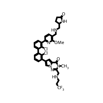 COc1nc(-c2cccc(-c3cccc(-c4cc5c(=O)n(C)c(CNCCC(F)(F)F)nn5c4)c3Cl)c2Cl)ccc1CNCC1CCC(=O)N1